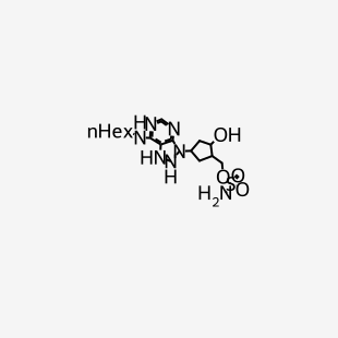 CCCCCCNc1ncnc2c1NNN2C1CC(O)C(COS(N)(=O)=O)C1